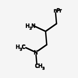 CCCCC(N)CN(C)C